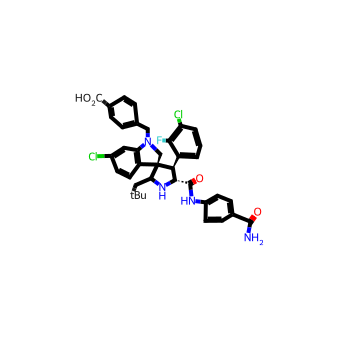 CC(C)(C)CC1N[C@@H](C(=O)Nc2ccc(C(N)=O)cc2)[C@H](c2cccc(Cl)c2F)[C@]12CN(Cc1ccc(C(=O)O)cc1)c1cc(Cl)ccc12